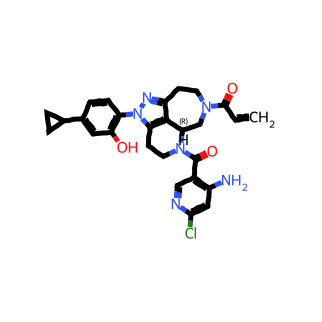 C=CC(=O)N1CCc2nn(-c3ccc(C4CC4)cc3O)c3c2[C@H](C1)N(C(=O)c1cnc(Cl)cc1N)CC3